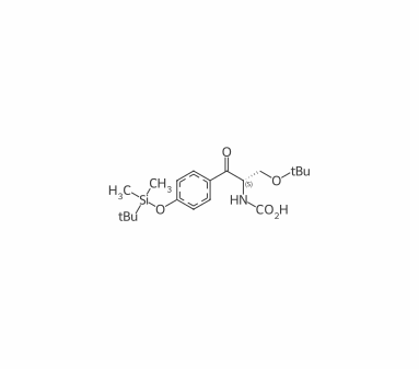 CC(C)(C)OC[C@H](NC(=O)O)C(=O)c1ccc(O[Si](C)(C)C(C)(C)C)cc1